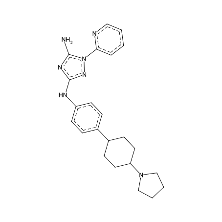 Nc1nc(Nc2ccc(C3CCC(N4CCCC4)CC3)cc2)nn1-c1ccccn1